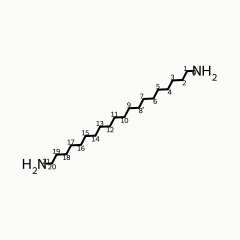 NCCCCCCC[CH]CCCCCCCCCCCCN